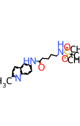 Cc1ccc2cc(NC(=O)CCCCNS(=O)(=O)C(C)(C)C)ccc2n1